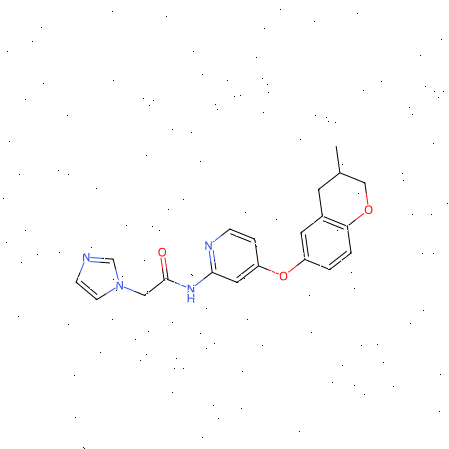 CC1COc2ccc(Oc3ccnc(NC(=O)Cn4ccnc4)c3)cc2C1